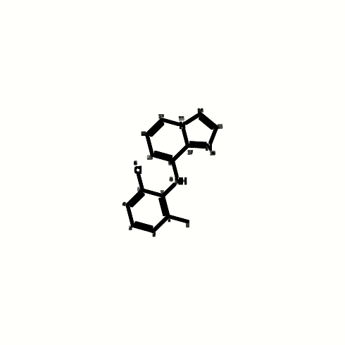 Cc1cccc(Cl)c1Nc1cccn2ccnc12